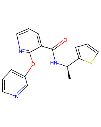 C[C@@H](NC(=O)c1cccnc1Oc1cccnc1)c1cccs1